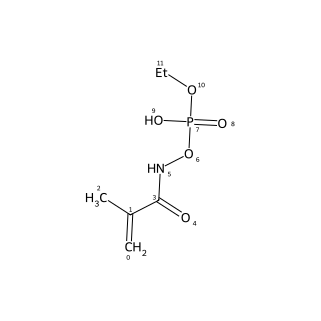 C=C(C)C(=O)NOP(=O)(O)OCC